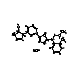 COCN(c1ncc(-c2ccnc(-n3cc[nH]c3=O)c2)o1)c1ccccc1C.Cl